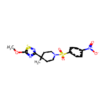 COc1nc(C2(C)CCN(S(=O)(=O)c3ccc([N+](=O)[O-])cc3)CC2)ns1